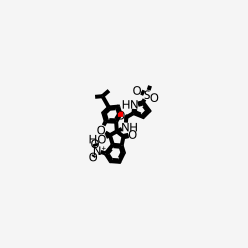 CC(C)c1ccc2c(c1)OC1(O)c3c(cccc3[N+](=O)[O-])C(=O)C21NC(=O)c1ccc(S(C)(=O)=O)[nH]1